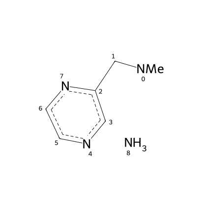 CNCc1cnccn1.N